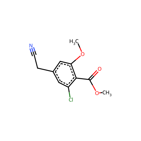 COC(=O)c1c(Cl)cc(CC#N)cc1OC